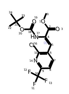 COC(=O)/C(=C/c1ccc(C(F)(F)F)nc1Cl)NC(=O)OC(C)(C)C